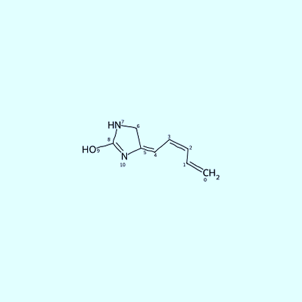 C=C/C=C\C=C1/CNC(O)=N1